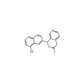 CN1Cc2ccccc2C(c2ccc3cccc(Cl)c3c2)C1